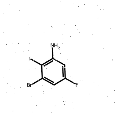 Nc1cc(F)cc(Br)c1I